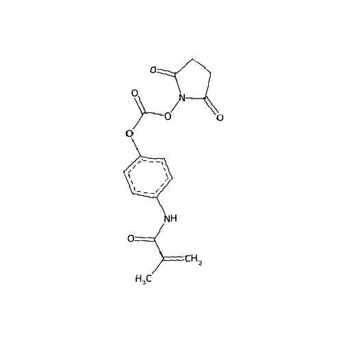 C=C(C)C(=O)Nc1ccc(OC(=O)ON2C(=O)CCC2=O)cc1